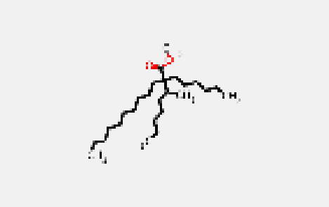 CCCCCCCCCCC(CCCCCC)(C(=O)OC)C(C)CCCCC